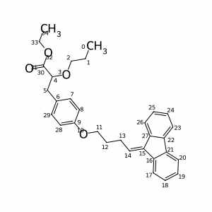 CCCOC(Cc1ccc(OCCCC=C2c3ccccc3-c3ccccc32)cc1)C(=O)OCC